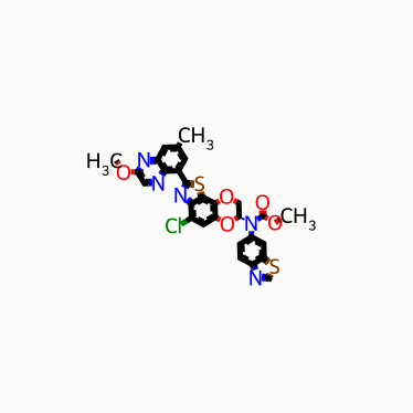 COC(=O)N(c1ccc2ncsc2c1)[C@H]1COc2c(cc(Cl)c3nc(-c4cc(C)cc5nc(OC)cnc45)sc23)O1